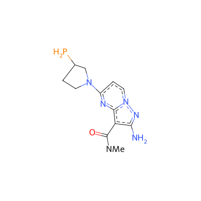 CNC(=O)c1c(N)nn2ccc(N3CCC(P)C3)nc12